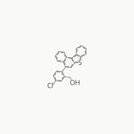 OCc1cc(Cl)ccc1-c1cc2sc3ccccc3c2c2ccccc12